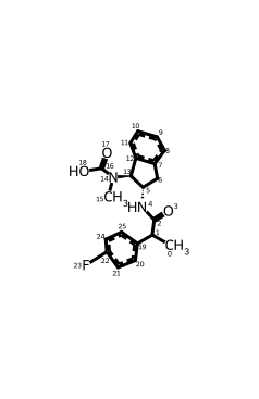 CC(C(=O)N[C@H]1Cc2ccccc2[C@@H]1N(C)C(=O)O)c1ccc(F)cc1